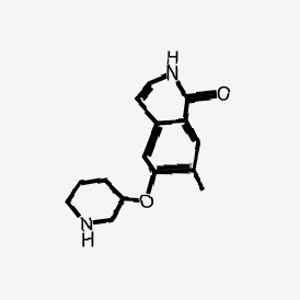 Cc1cc2c(=O)[nH]ccc2cc1OC1CCCNC1